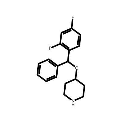 Fc1ccc(C(OC2CCNCC2)c2ccccc2)c(F)c1